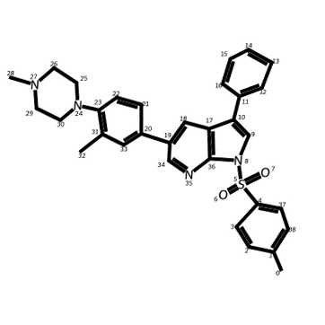 Cc1ccc(S(=O)(=O)n2cc(-c3cc[c]cc3)c3cc(-c4ccc(N5CCN(C)CC5)c(C)c4)cnc32)cc1